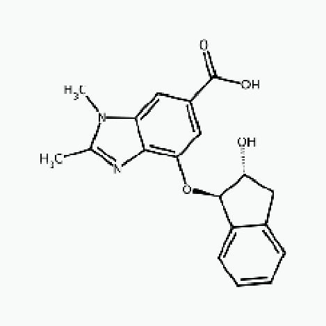 Cc1nc2c(O[C@@H]3c4ccccc4C[C@H]3O)cc(C(=O)O)cc2n1C